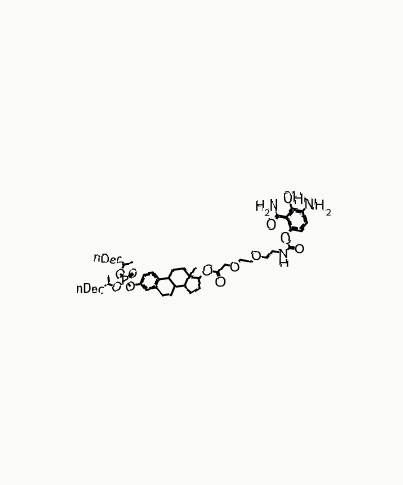 CCCCCCCCCCC(C)OP(=O)(Oc1ccc2c(c1)CCC1C2CCC2(C)C(OC(=O)COCCOCCNC(=O)Oc3ccc(N)c(O)c3C(N)=O)CCC12)OC(C)CCCCCCCCCC